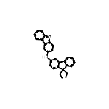 CCC1(CC)c2ccccc2-c2cc(Nc3ccc4oc5ccccc5c4c3)ccc21